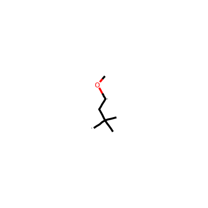 [CH2]C(C)(C)C[CH]OC